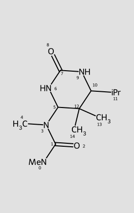 CNC(=O)N(C)C1NC(=O)NC(C(C)C)C1(C)C